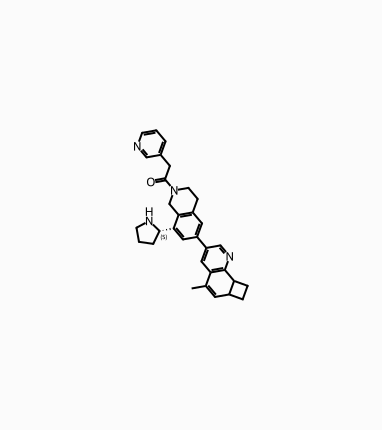 CC1=CC2CCC2c2ncc(-c3cc4c(c([C@@H]5CCCN5)c3)CN(C(=O)Cc3cccnc3)CC4)cc21